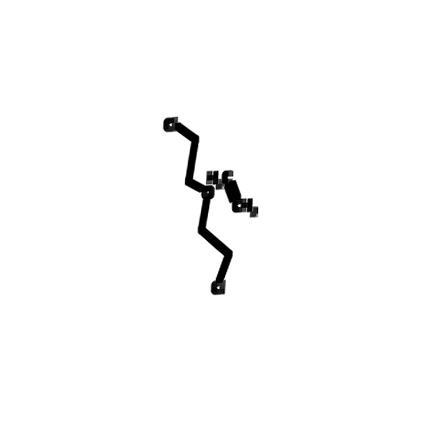 C=C.ClCCOCCCl